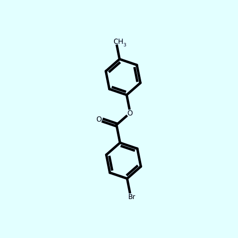 Cc1ccc(OC(=O)c2ccc(Br)cc2)cc1